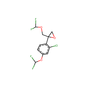 FC(F)OCC1(c2ccc(OC(F)F)cc2Cl)CO1